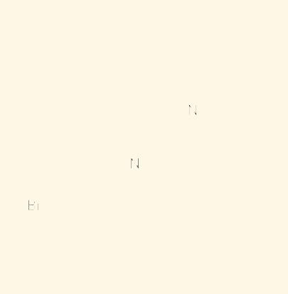 CCN1CCN(CCBr)CC1